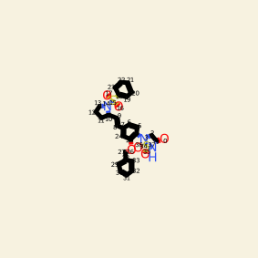 O=C1CN(c2ccc(/C=C/C3CCCN3S(=O)(=O)c3ccccc3)cc2OCc2ccccc2)S(=O)(=O)N1